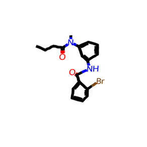 CCCC(=O)N(C)c1cccc(NC(=O)c2ccccc2Br)c1